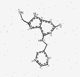 OCc1nc2c(NCc3cnccn3)nc(Cl)nc2[nH]1